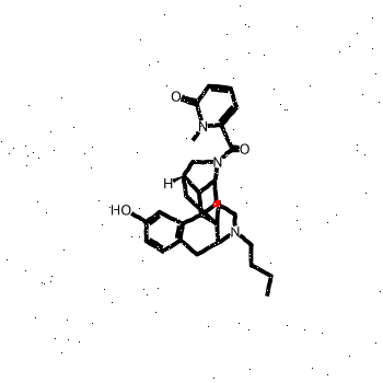 CCCCN1CCC23c4cc(O)ccc4CC1C21CCC2C3[C@@H](CN2C(=O)c2cccc(=O)n2C)C1